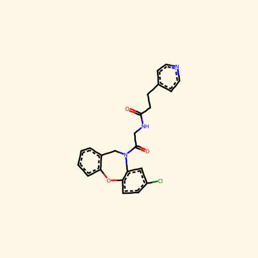 O=C(CCc1ccncc1)NCC(=O)N1Cc2ccccc2Oc2ccc(Cl)cc21